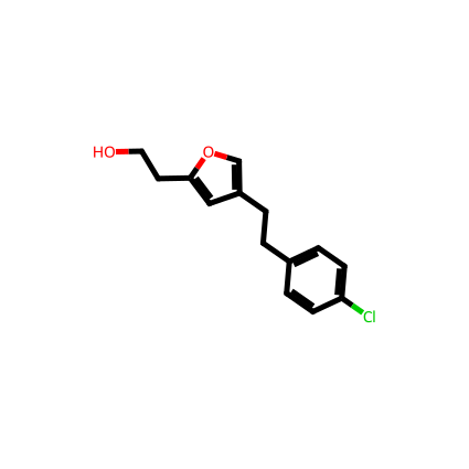 OCCc1cc(CCc2ccc(Cl)cc2)co1